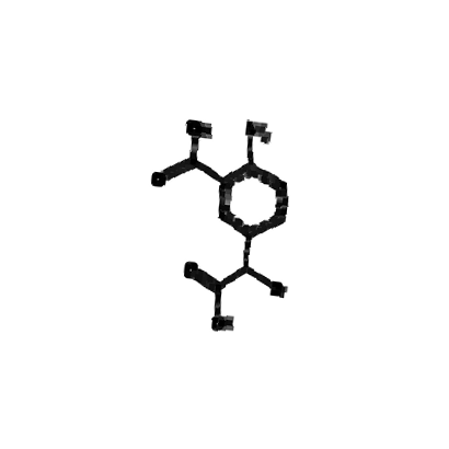 Nc1ccc(C(Br)C(=O)O)cc1C(=O)O